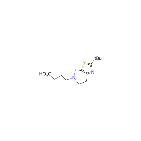 CC(C)(C)c1nc2c(s1)CN(CCCC(=O)O)CC2